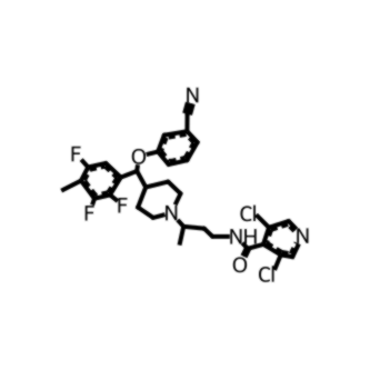 Cc1c(F)cc(C(Oc2cccc(C#N)c2)C2CCN(C(C)CCNC(=O)c3c(Cl)cncc3Cl)CC2)c(F)c1F